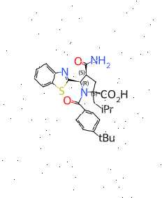 CC(C)C[C@@]1(C(=O)O)C[C@H](C(N)=O)[C@H](c2nc3ccccc3s2)N1C(=O)c1ccc(C(C)(C)C)cc1